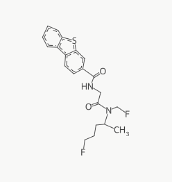 CC(CCCF)N(CF)C(=O)CNC(=O)c1ccc2c(c1)sc1ccccc12